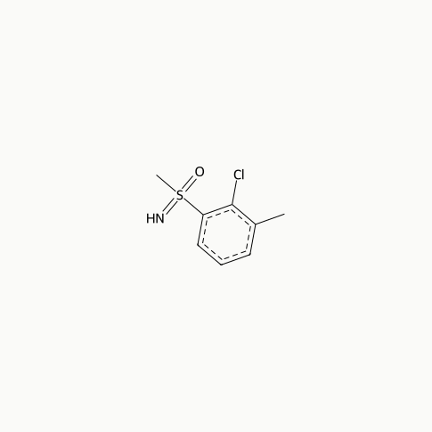 Cc1cccc(S(C)(=N)=O)c1Cl